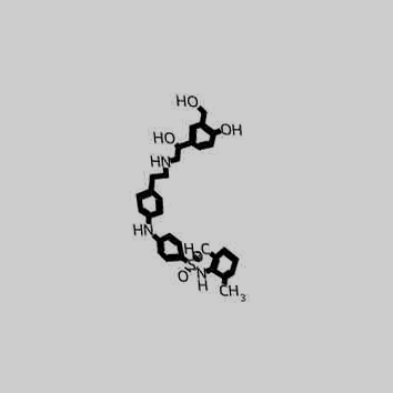 Cc1cccc(C)c1NS(=O)(=O)c1ccc(Nc2ccc(CCNCC(O)c3ccc(O)c(CO)c3)cc2)cc1